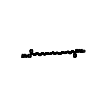 COC(=O)CCCCCCC/C=C/CCCCCCCC(=O)OC